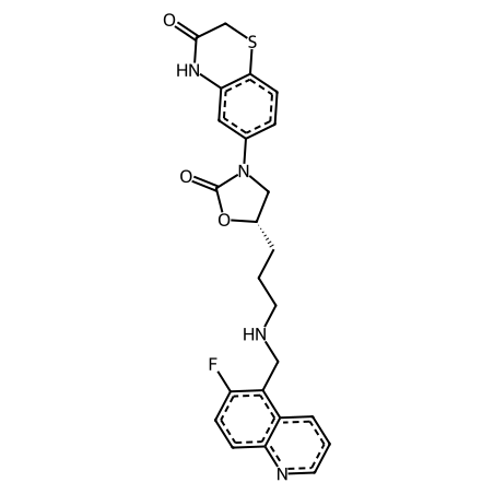 O=C1CSc2ccc(N3C[C@H](CCCNCc4c(F)ccc5ncccc45)OC3=O)cc2N1